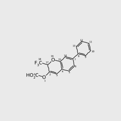 O=C(O)OC1=Cc2ccc(-c3ccccc3)cc2OC1C(F)(F)F